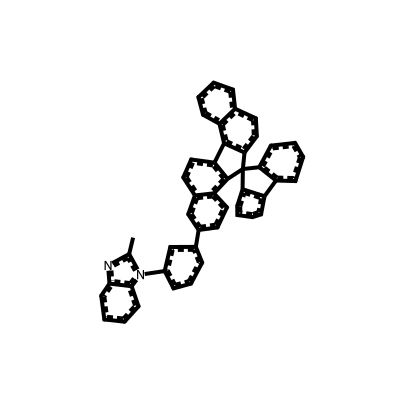 Cc1nc2ccccc2n1-c1cccc(-c2ccc3c4c(ccc3c2)-c2c(ccc3ccccc23)C42c3ccccc3-c3ccccc32)c1